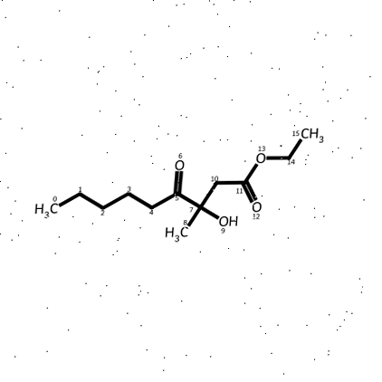 CCCCCC(=O)C(C)(O)CC(=O)OCC